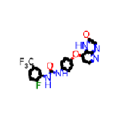 O=C(Nc1ccc(Oc2ccnc3ncc(=O)[nH]c23)cc1)Nc1cc(C(F)(F)F)ccc1F